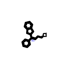 ClCC/C=C(/c1ccccc1)C1Cc2ccccc2C1